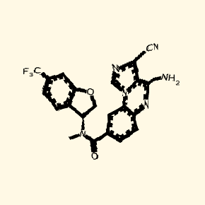 CN(C(=O)c1ccc2nc(N)c3c(C#N)ncn3c2c1)[C@@H]1COc2cc(C(F)(F)F)ccc21